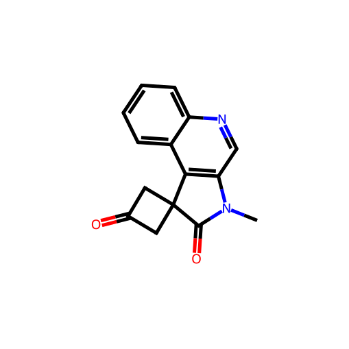 CN1C(=O)C2(CC(=O)C2)c2c1cnc1ccccc21